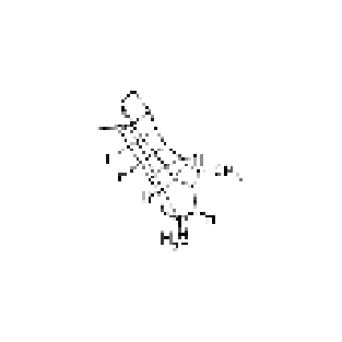 C[C@H]1C2[C@@H]3C4C5C6CC7C8CC9[C@@H]%10[C@H]%11C%12[C@H]%13C%14P[C@@H](C1C2%13C%123C4%11[C@@]5%10C769)[C@]8%14C